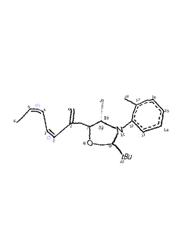 C=C(/C=C\C=C/C)C1OC(C(C)(C)C)N(c2ccccc2C)[C@H]1C